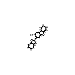 Oc1cc2c(cc1-c1nc3ccccc3s1)oc1ccccc12